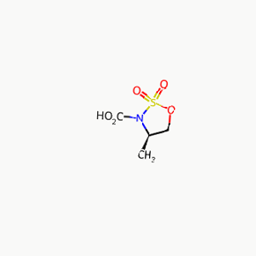 C[C@@H]1COS(=O)(=O)N1C(=O)O